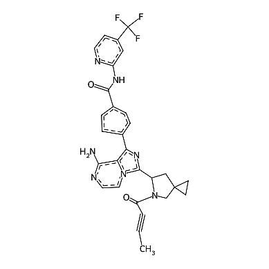 CC#CC(=O)N1CC2(CC2)CC1c1nc(-c2ccc(C(=O)Nc3cc(C(F)(F)F)ccn3)cc2)c2c(N)nccn12